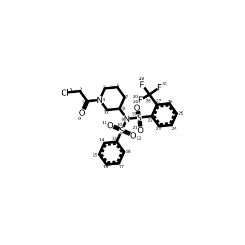 O=C(CCl)N1CCCC(N(S(=O)(=O)c2ccccc2)S(=O)(=O)c2ccccc2C(F)(F)F)C1